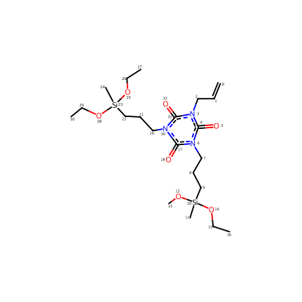 C=CCn1c(=O)n(CCC[Si](C)(OC)OCC)c(=O)n(CCC[Si](C)(OCC)OCC)c1=O